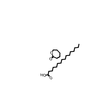 CCCCCCCCCCCCCCCC(=O)O.O=C1CCCCCO1